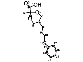 CC1(C(=O)O)OCC(CCCSc2ccccc2)CO1